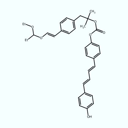 CCOC(CC)OC=Cc1ccc(CC(C)(C)OC(=O)Oc2ccc(C=CC=Cc3ccc(O)cc3)cc2)cc1